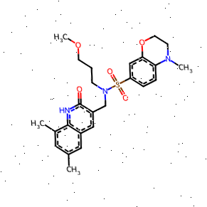 COCCCN(Cc1cc2cc(C)cc(C)c2[nH]c1=O)S(=O)(=O)c1ccc2c(c1)OCCN2C